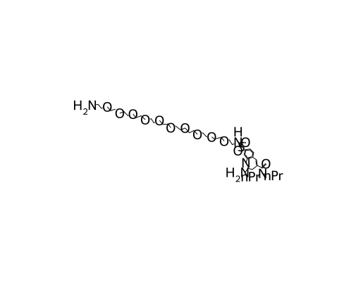 CCCN(CCC)C(=O)C1=Cc2ccc(S(=O)(=O)NCCOCCOCCOCCOCCOCCOCCOCCOCCOCCOCCN)cc2N=C(N)C1